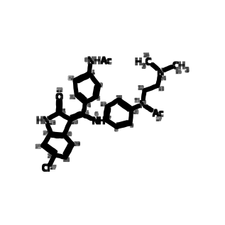 CC(=O)Nc1ccc(C(Nc2ccc(N(CCN(C)C)C(C)=O)cc2)=C2C(=O)Nc3cc(Cl)ccc32)cc1